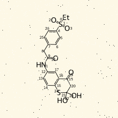 CCS(=O)(=O)c1ccc(CC(=O)Nc2ccc3c(c2)C(=O)CC(O)(O)S3)cc1